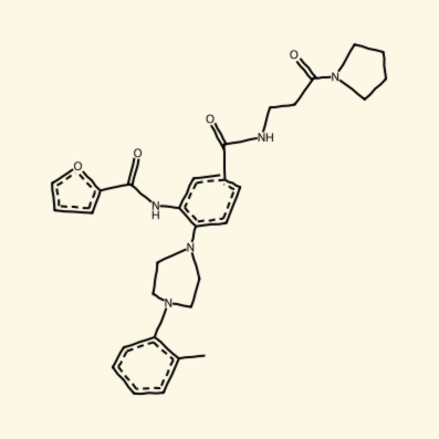 Cc1ccccc1N1CCN(c2ccc(C(=O)NCCC(=O)N3CCCC3)cc2NC(=O)c2ccco2)CC1